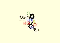 COc1c(Cl)cccc1NC(=S)C1=C(O)CCN(C(C)(C)C)C1=O